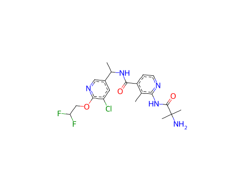 Cc1c(C(=O)NC(C)c2cnc(OCC(F)F)c(Cl)c2)ccnc1NC(=O)C(C)(C)N